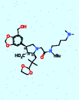 CCCCN(CCCCN(C)C)C(=O)CN1C[C@H](c2cc(CO)c3c(c2)OCO3)[C@@H](C(=O)O)[C@@H]1CC(C)(C)C1OCCO1